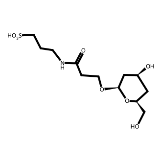 O=C(CCO[C@H]1C[C@@H](O)C[C@@H](CO)O1)NCCCS(=O)(=O)O